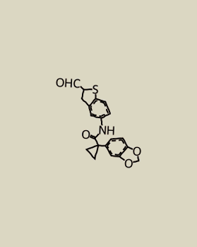 O=CC1Cc2cc(NC(=O)C3(c4ccc5c(c4)OCO5)CC3)ccc2S1